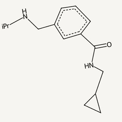 CC(C)NCc1cccc(C(=O)NCC2CC2)c1